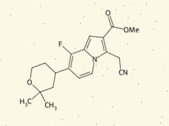 COC(=O)c1cc2c(F)c(C3CCOC(C)(C)C3)ccn2c1CC#N